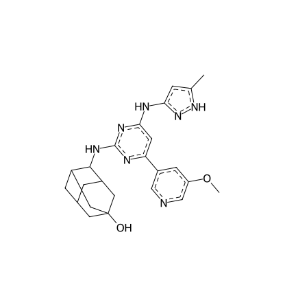 COc1cncc(-c2cc(Nc3cc(C)[nH]n3)nc(NC3C4CC5CC3CC(O)(C5)C4)n2)c1